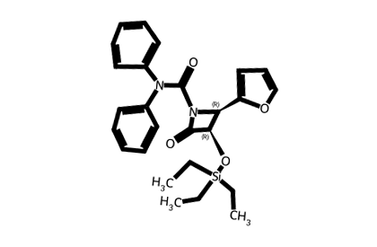 CC[Si](CC)(CC)O[C@H]1C(=O)N(C(=O)N(c2ccccc2)c2ccccc2)[C@H]1c1ccco1